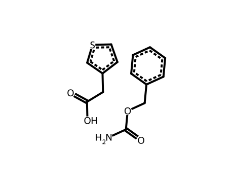 NC(=O)OCc1ccccc1.O=C(O)Cc1ccsc1